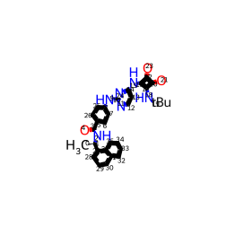 C[C@H](NC(=O)c1ccc(Nc2nccc(Nc3c(NC(C)(C)C)c(=O)c3=O)n2)cc1)c1cccc2ccccc12